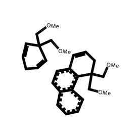 COCC1(COC)C=CCC=C1.COCC1(COC)CC=Cc2ccc3ccccc3c21